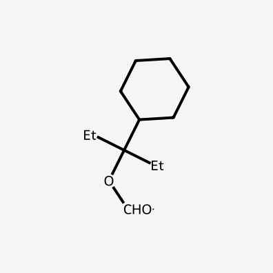 CCC(CC)(O[C]=O)C1CCCCC1